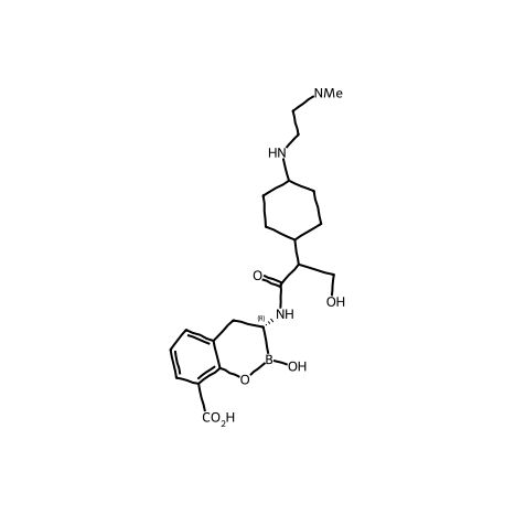 CNCCNC1CCC(C(CO)C(=O)N[C@H]2Cc3cccc(C(=O)O)c3OB2O)CC1